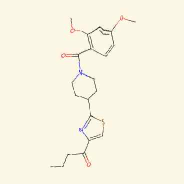 CCCC(=O)c1csc(C2CCN(C(=O)c3ccc(OC)cc3OC)CC2)n1